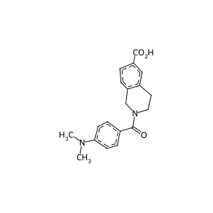 CN(C)c1ccc(C(=O)N2CCc3cc(C(=O)O)ccc3C2)cc1